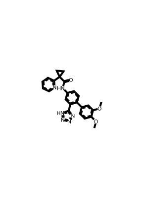 COc1ccc(-c2ccc(NC(=O)C3(c4ccccn4)CC3)cc2-c2nnn[nH]2)cc1OC